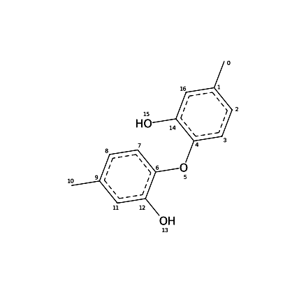 Cc1ccc(Oc2ccc(C)cc2O)c(O)c1